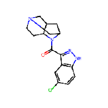 O=C(c1n[nH]c2ccc(Cl)cc12)N1C2CC3CN(CCC31)C2